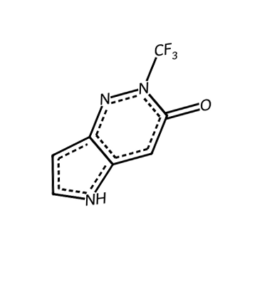 O=c1cc2[nH]ccc2nn1C(F)(F)F